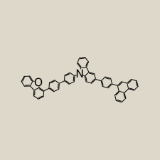 c1ccc2c(c1)cc(-c1ccc(-c3ccc4c(c3)c3ccccc3n4-c3ccc(-c4ccc(-c5cccc6c5oc5ccccc56)cc4)cc3)cc1)c1ccccc12